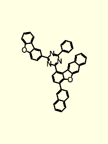 c1ccc(-c2nc(-c3ccc4oc5ccccc5c4c3)nc(-c3ccc(-c4ccc5ccccc5c4)c4oc5cc6ccccc6cc5c34)n2)cc1